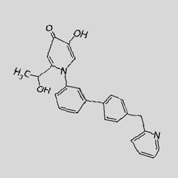 CC(O)c1cc(=O)c(O)cn1-c1cccc(-c2ccc(Cc3ccccn3)cc2)c1